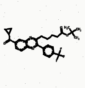 CC(C)(C)OC(=O)CCCCc1nc2cc(C(=O)C3CC3)ccc2nc1-c1ccc(C(F)(F)F)cc1